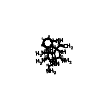 C=C1Nc2ccccc2C1(NC(N)NNCN)NC(N)(N)C(N)N